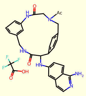 CC(=O)N1CC(=O)Nc2cccc(c2)CNC(=O)C(Nc2ccc3c(N)nccc3c2)c2ccc(cc2)C1.O=C(O)C(F)(F)F